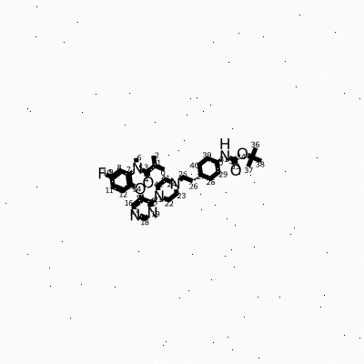 CC(C)C(=O)N(C)c1cc(F)ccc1Oc1cncnc1N1CCN(CC[C@H]2CC[C@H](NC(=O)OC(C)(C)C)CC2)CC1